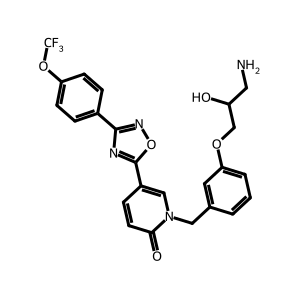 NCC(O)COc1cccc(Cn2cc(-c3nc(-c4ccc(OC(F)(F)F)cc4)no3)ccc2=O)c1